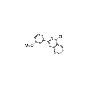 COc1cccc(-c2cc3ncccc3c(Cl)n2)c1